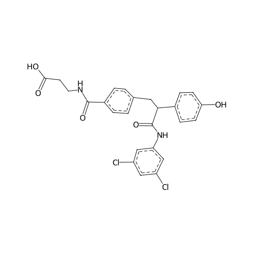 O=C(O)CCNC(=O)c1ccc(CC(C(=O)Nc2cc(Cl)cc(Cl)c2)c2ccc(O)cc2)cc1